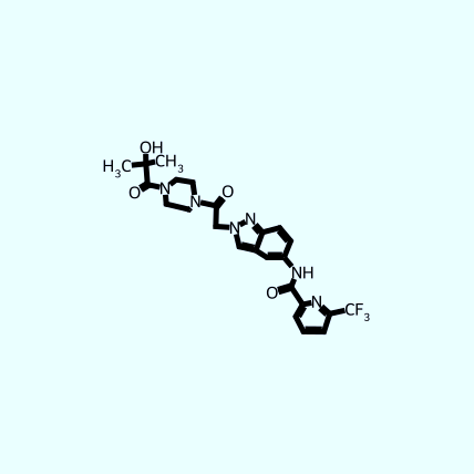 CC(C)(O)C(=O)N1CCN(C(=O)Cn2cc3cc(NC(=O)c4cccc(C(F)(F)F)n4)ccc3n2)CC1